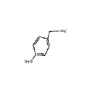 COc1ccc([CH2][Mg+])cc1